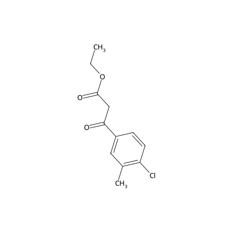 CCOC(=O)CC(=O)c1ccc(Cl)c(C)c1